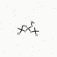 CCC(C)(C)O[Si](O)(OC(C)(C)C)OC(C)(C)CC